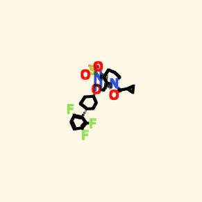 CS(=O)(=O)N[C@H]1CCCN(C(=O)C2CC2)[C@H]1CO[C@H]1CC[C@@H](c2c(F)ccc(F)c2F)CC1